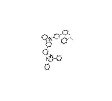 CCc1ccccc1-c1c(C)cccc1-c1ccc(-n2c3ccccc3c3cc(-c4cccc(-c5nc(-c6ccccc6)cc(-c6ccccc6)n5)c4)ccc32)cc1